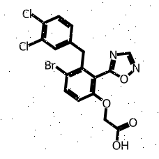 O=C(O)COc1ccc(Br)c(Cc2ccc(Cl)c(Cl)c2)c1-c1ncno1